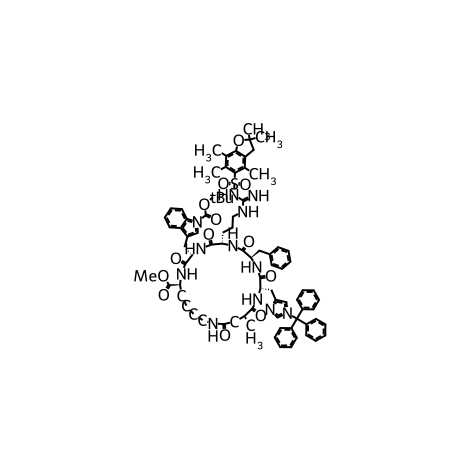 COC(=O)[C@@H]1CCCCNC(=O)C[C@H](C)C(=O)N[C@@H](Cc2cn(C(c3ccccc3)(c3ccccc3)c3ccccc3)cn2)C(=O)N[C@H](Cc2ccccc2)C(=O)N[C@@H](CCCNC(=N)NS(=O)(=O)c2c(C)c(C)c3c(c2C)CC(C)(C)O3)C(=O)N[C@@H](Cc2cn(C(=O)OC(C)(C)C)c3ccccc23)C(=O)N1